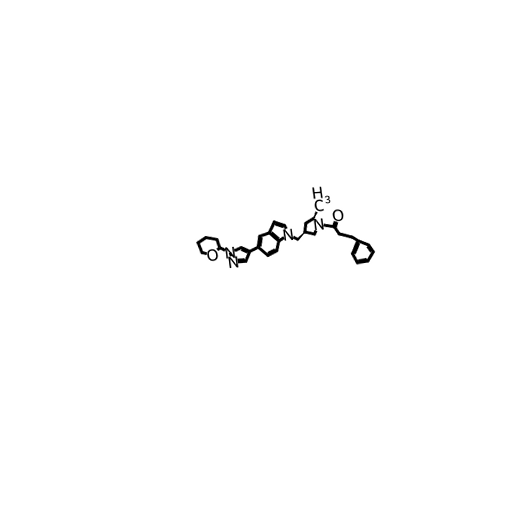 C[C@@H]1C[C@H](Cn2ccc3cc(-c4cnn(C5CCCCO5)c4)ccc32)CN1C(=O)CCc1ccccc1